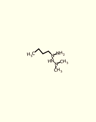 CCCCN(N)NN(C)C